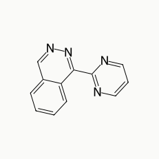 c1cnc(-c2nncc3ccccc23)nc1